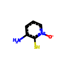 Nc1ccc[n+]([O-])c1S